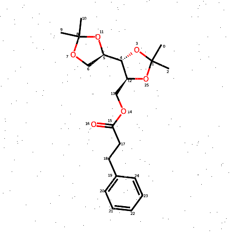 CC1(C)O[C@@H]([C@H]2COC(C)(C)O2)[C@H](COC(=O)CCc2ccccc2)O1